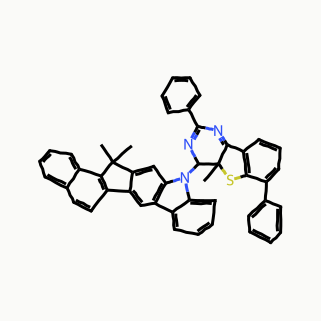 CC1(C)c2cc3c(cc2-c2ccc4ccccc4c21)c1ccccc1n3C1N=C(c2ccccc2)N=C2c3cccc(-c4ccccc4)c3SC21C